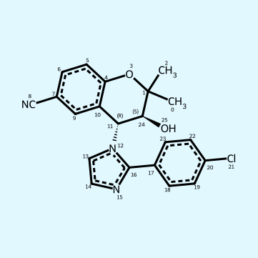 CC1(C)Oc2ccc(C#N)cc2[C@@H](n2ccnc2-c2ccc(Cl)cc2)[C@@H]1O